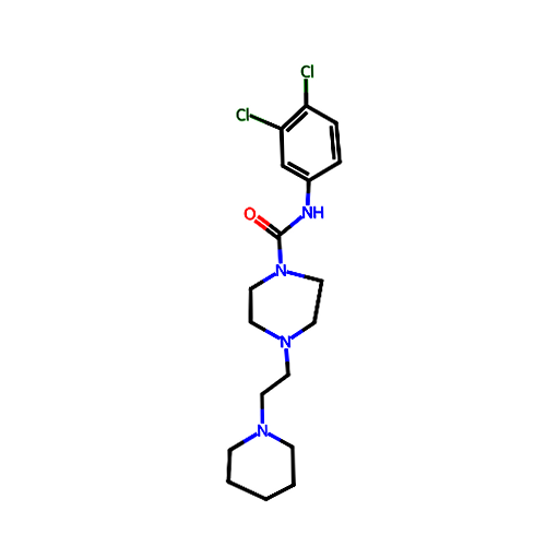 O=C(Nc1ccc(Cl)c(Cl)c1)N1CCN(CCN2CCCCC2)CC1